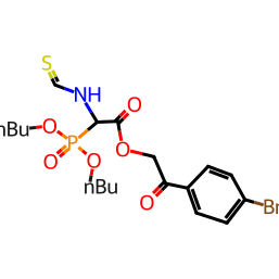 CCCCOP(=O)(OCCCC)C(NC=S)C(=O)OCC(=O)c1ccc(Br)cc1